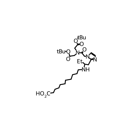 CCC(Cc1nccn1CC(=O)N(CC(=O)OC(C)(C)C)CC(=O)OC(C)(C)C)NCCCCCCCCCCC(=O)O